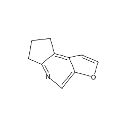 c1cc2c3c(ncc2o1)CCC3